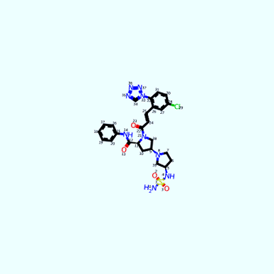 NS(=O)(=O)N[C@@H]1CCN([C@H]2C[C@@H](C(=O)Nc3ccccc3)N(C(=O)/C=C/c3cc(Cl)ccc3-n3cnnn3)C2)C1